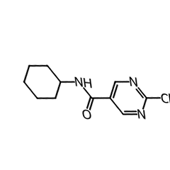 O=C(NC1CCCCC1)c1cnc(Cl)nc1